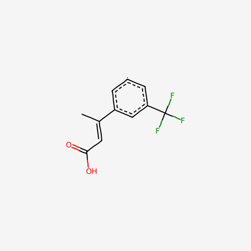 CC(=CC(=O)O)c1c[c]cc(C(F)(F)F)c1